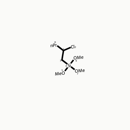 CCCC(Cl)C[Si](OC)(OC)OC